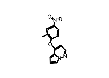 Cc1cc([N+](=O)[O-])ccc1Oc1ccnn2cccc12